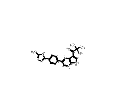 Cc1nnc(-c2ccc(-c3cnc4[nH]cc(C(=O)C(C)(C)C)c4n3)cc2)o1